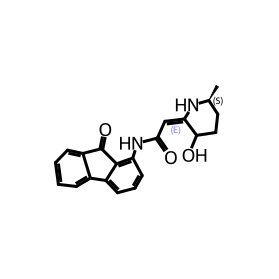 C[C@H]1CCC(O)/C(=C\C(=O)Nc2cccc3c2C(=O)c2ccccc2-3)N1